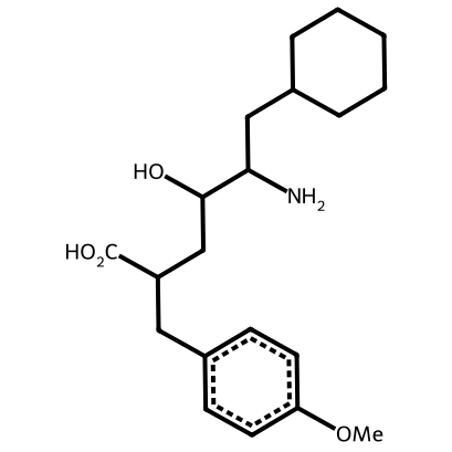 COc1ccc(CC(CC(O)C(N)CC2CCCCC2)C(=O)O)cc1